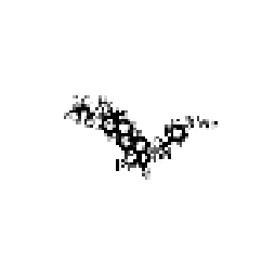 COc1ccc(-c2nnc([C@@]34CC[C@]5(C)[C@H](CC[C@@H]6[C@@]7(C)CC[C@H](OC(=O)CC(C)(C)C(=O)O)C(C)(C)[C@@H]7CC[C@]65C)C3=C(C(C)C)C(=O)C4)o2)nc1